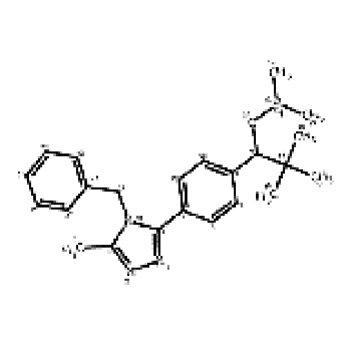 Cc1nnc(-c2ccc(C(O[SiH](C)C)C(C)(C)C)cc2)n1Cc1ccccc1